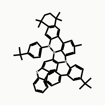 Cc1cc2c3c(c1)N(c1ccc(C(C)(C)C)cc1-c1ccccc1)c1cc4c(cc1B3N(c1ccc(C(C)(C)C)cc1)c1cc3c(cc1-2)C(C)(C)CCC3(C)C)sc1ccccc14